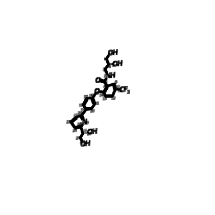 O=C(NC[C@@H](O)CO)c1cc(C(F)(F)F)ccc1Oc1ccc(-c2cccc([C@H](O)CO)n2)cc1